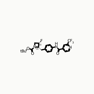 CC(C)(C)OC(=O)N1C[C@H](F)[C@@H]1Cc1ccc(NC(=O)c2ccnc(C(F)(F)F)c2)cc1